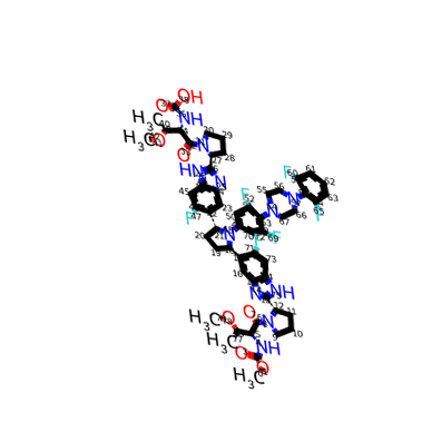 COC(=O)N[C@H](C(=O)N1CCC[C@H]1c1nc2cc([C@H]3CC[C@H](c4cc5nc([C@@H]6CCCN6C(=O)[C@@H](NC(=O)O)[C@@H](C)OC)[nH]c5cc4F)N3c3cc(F)c(N4CCN(c5c(F)cccc5F)CC4)c(F)c3)c(F)cc2[nH]1)C(C)OC